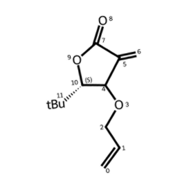 C=CCOC1C(=C)C(=O)O[C@H]1C(C)(C)C